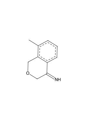 Cc1cccc2c1COCC2=N